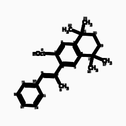 CCCCCCCCc1cc2c(cc1C(C)=Cc1ccccc1)C(C)(C)CCC2(C)C